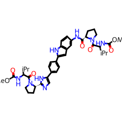 COC(=O)NC(C(=O)N1CCC[C@H]1C(=O)Nc1ccc2[nH]c(-c3ccc(-c4cnc([C@@H]5CCCN5C(=O)C(NC(=O)OC)C(C)C)[nH]4)cc3)cc2c1)C(C)C